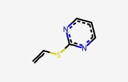 C=CSc1ncccn1